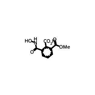 COC(=O)c1cccc(C(=O)NO)c1C(=O)O